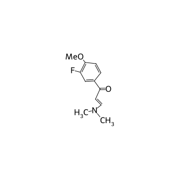 COc1ccc(C(=O)/C=C/N(C)C)cc1F